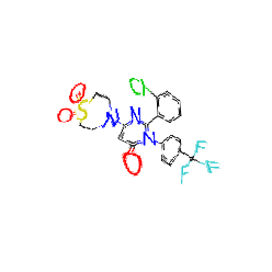 O=c1cc(N2CCS(=O)(=O)CC2)nc(-c2ccccc2Cl)n1-c1ccc(C(F)(F)F)cc1